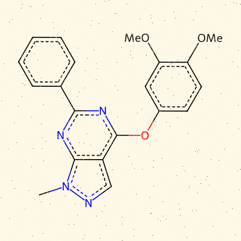 COc1ccc(Oc2nc(-c3ccccc3)nc3c2cnn3C)cc1OC